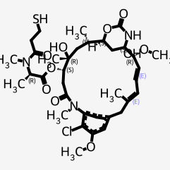 COc1cc2cc(c1Cl)N(C)C(=O)C[C@H](OC(=O)[C@@H](C)N(C)C(=O)CCS)[C@](C)(O)C[C@H](C)[C@@H]1C[C@@](O)(NC(=O)O1)[C@H](OC)/C=C/C=C(\C)C2